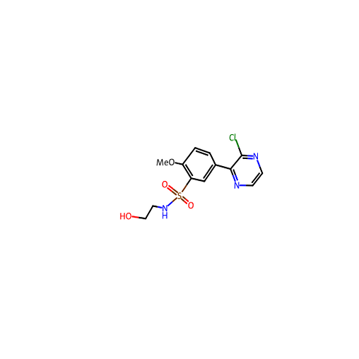 COc1ccc(-c2nccnc2Cl)cc1S(=O)(=O)NCCO